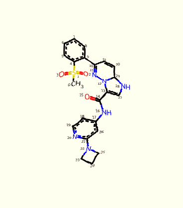 CS(=O)(=O)c1ccccc1C1=NN2C(C(=O)Nc3ccnc(N4CCC4)c3)=CNC2C=C1